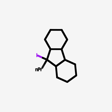 CCCC1(I)C2CCCCC2C2CCCCC21